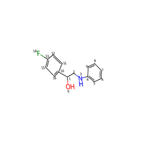 OC(CNc1ccccc1)c1ccc(F)cc1